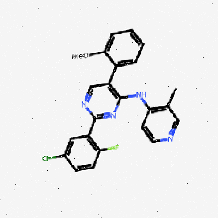 COc1ccccc1-c1cnc(-c2cc(Cl)ccc2F)nc1Nc1ccncc1C